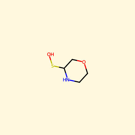 OSC1COCCN1